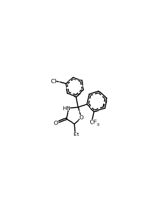 CCC1OC(c2cccc(Cl)c2)(c2ccccc2C(F)(F)F)NC1=O